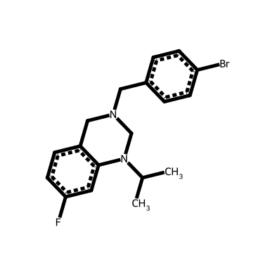 CC(C)N1CN(Cc2ccc(Br)cc2)Cc2ccc(F)cc21